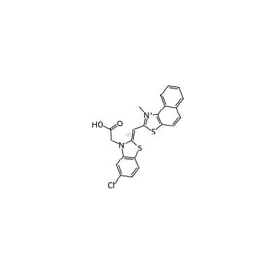 C[n+]1c(/C=C2\Sc3ccc(Cl)cc3N2CC(=O)O)sc2ccc3ccccc3c21